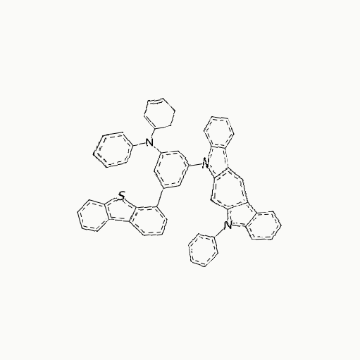 C1=CCCC(N(c2ccccc2)c2cc(-c3cccc4c3sc3ccccc34)cc(-n3c4ccccc4c4cc5c6ccccc6n(-c6ccccc6)c5cc43)c2)=C1